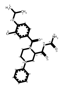 CC(C)Oc1ccc(C(=O)N2CCN(c3ccccc3)CC2C(=O)OC(N)=O)cc1Cl